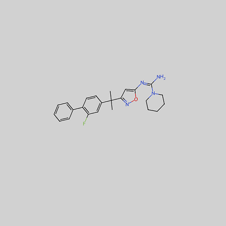 CC(C)(c1ccc(-c2ccccc2)c(F)c1)c1cc(/N=C(/N)N2CCCCC2)on1